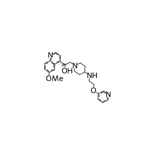 COc1ccc2nccc([C@@H](O)CN3CCC(NCCOc4cccnc4)CC3)c2c1